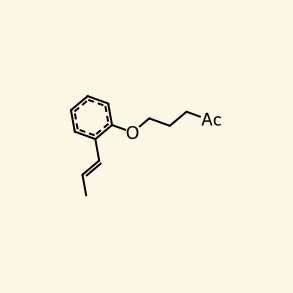 C/C=C/c1ccccc1OCCCC(C)=O